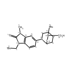 Cn1c(=O)n(CC(C)(C)C)c2ccc(N3CC4(C(C)(C)C)CCC3CN4C(=O)O)nc21